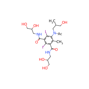 CC(=O)N(CC(C)CO)c1c(C)c(C(=O)NCC(O)CO)c(I)c(C(=O)NCC(O)CO)c1I